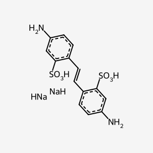 Nc1ccc(/C=C/c2ccc(N)cc2S(=O)(=O)O)c(S(=O)(=O)O)c1.[NaH].[NaH]